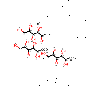 O=C([O-])C(O)C(O)C(O)C(O)CO.O=C([O-])C(O)C(O)C(O)C(O)CO.O=C([O-])C(O)C(O)C(O)C(O)CO.[In+3]